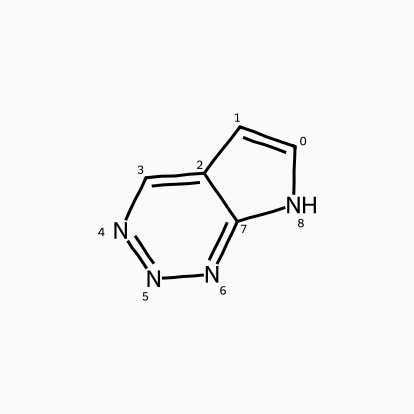 c1cc2cnnnc2[nH]1